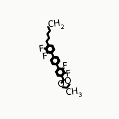 C=CCCCCc1ccc(-c2ccc(-c3ccc(C4OCC(C)CO4)c(F)c3F)cc2)c(F)c1F